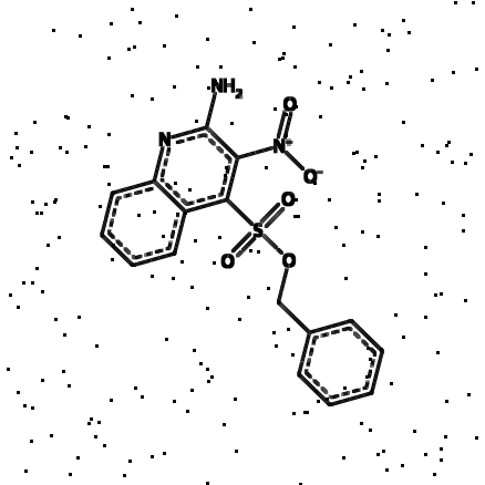 Nc1nc2ccccc2c(S(=O)(=O)OCc2ccccc2)c1[N+](=O)[O-]